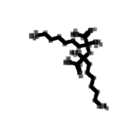 CCCCCCCC(C)(SC(C)(CCCCCCC)C(=O)O)C(=O)O